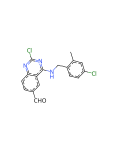 Cc1cc(Cl)ccc1CNc1nc(Cl)nc2ccc(C=O)cc12